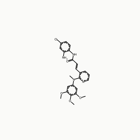 COc1cc(N(C)c2ncccc2/C=C/C(=O)Nc2ccc(Cl)cc2N)cc(OC)c1OC